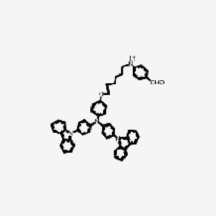 CCN(CCCCCCOc1ccc(N(c2ccc(-n3c4ccccc4c4ccccc43)cc2)c2ccc(-n3c4ccccc4c4ccccc43)cc2)cc1)c1ccc(C=O)cc1